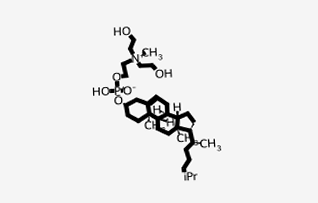 CC(C)CCC[C@@H](C)[C@H]1CC[C@H]2[C@@H]3CC=C4C[C@@H](O[P+]([O-])(O)OCC[N+](C)(CCO)CCO)CC[C@]4(C)[C@H]3CC[C@]12C